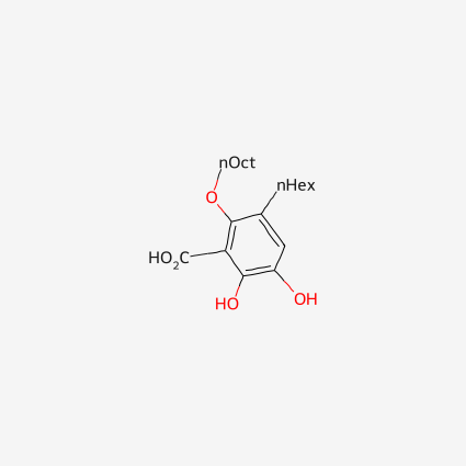 CCCCCCCCOc1c(CCCCCC)cc(O)c(O)c1C(=O)O